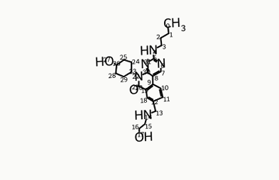 CCCCNc1ncc2c3ccc(CNCCO)cc3c(=O)n([C@H]3CC[C@H](O)CC3)c2n1